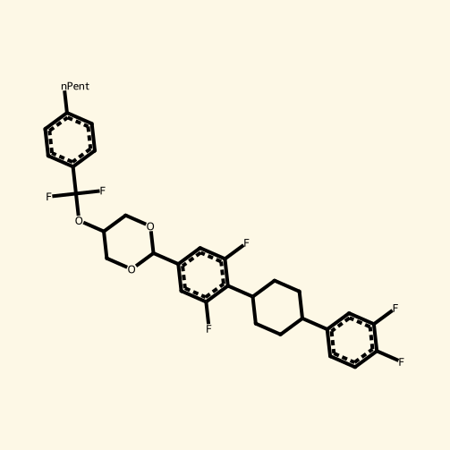 CCCCCc1ccc(C(F)(F)OC2COC(c3cc(F)c(C4CCC(c5ccc(F)c(F)c5)CC4)c(F)c3)OC2)cc1